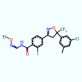 CCO/N=C\NC(=O)c1ccc(C2=NOC(c3cc(C)cc(Cl)c3)(C(F)(F)F)C2)cc1I